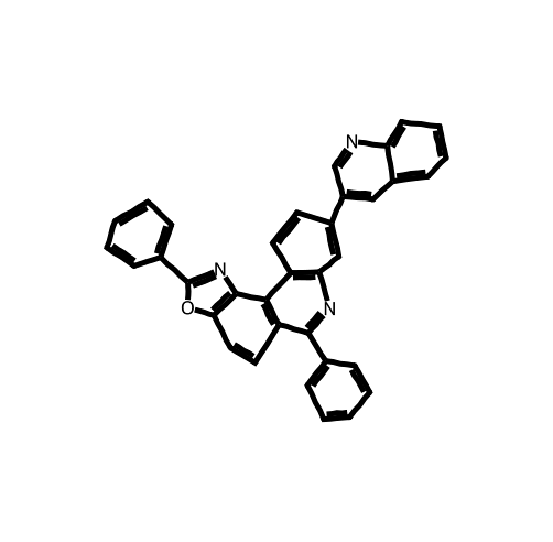 c1ccc(-c2nc3c(ccc4c(-c5ccccc5)nc5cc(-c6cnc7ccccc7c6)ccc5c43)o2)cc1